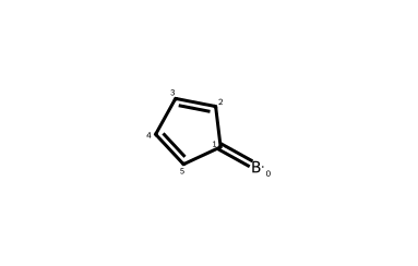 [B]=C1C=CC=C1